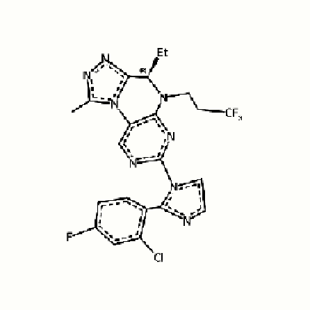 CC[C@@H]1c2nnc(C)n2-c2cnc(-n3ccnc3-c3ccc(F)cc3Cl)nc2N1CCC(F)(F)F